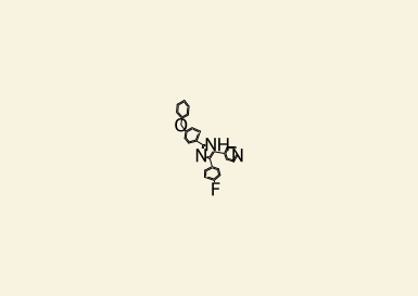 Fc1ccc(-c2nc(-c3ccc(Oc4ccccc4)cc3)[nH]c2-c2ccncc2)cc1